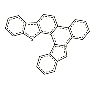 c1ccc2c(c1)cn1c3ccccc3c3ccc4c5ccccc5sc4c3c21